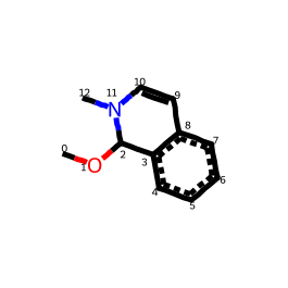 COC1c2ccccc2C=CN1C